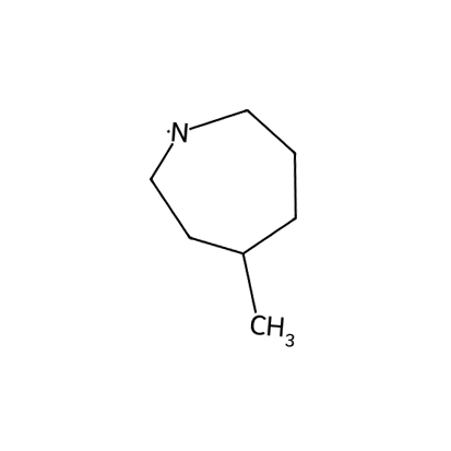 CC1CCC[N]CC1